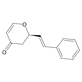 O=C1C=CO[C@@H](/C=C/c2ccccc2)C1